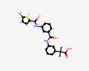 CC(C)(C(=O)O)c1cccc(NC(=O)c2cccc(NC(=O)c3ccc(Cl)s3)c2)c1